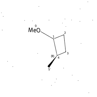 COC1CC[C@H]1C